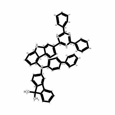 CC1(C)c2ccccc2-c2cc(N(c3ccc(-c4ccccc4)cc3)c3cccc4oc5cc(-c6nc(-c7ccccc7)nc(-c7ccccc7)n6)ccc5c34)ccc21